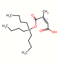 CCCC[Si](CCCC)(CCCC)OC(=O)/C(C)=C\C(=O)O